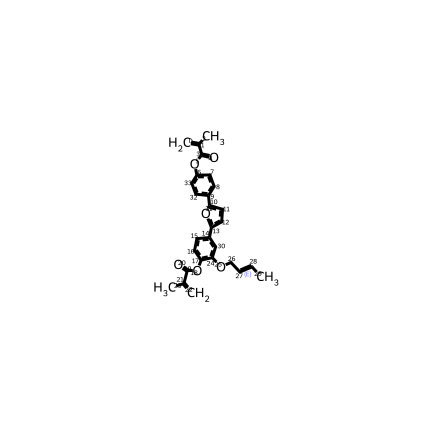 C=C(C)C(=O)Oc1ccc(-c2ccc(-c3ccc(OC(=O)C(=C)C)c(OC/C=C/C)c3)o2)cc1